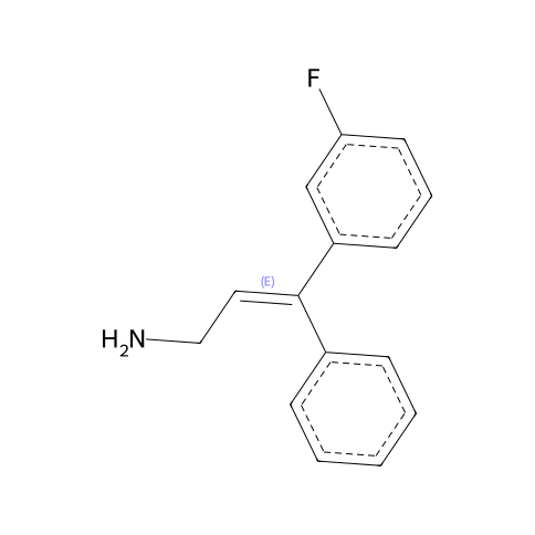 NC/C=C(\c1ccccc1)c1cccc(F)c1